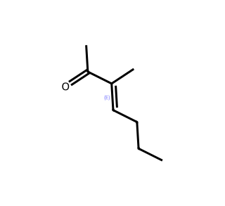 CCC/C=C(\C)C(C)=O